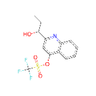 CCC(O)c1cc(OS(=O)(=O)C(F)(F)F)c2ccccc2n1